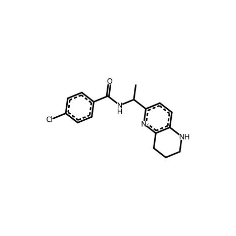 CC(NC(=O)c1ccc(Cl)cc1)c1ccc2c(n1)CCCN2